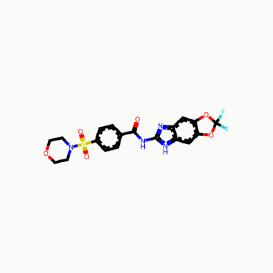 O=C(Nc1nc2cc3c(cc2[nH]1)OC(F)(F)O3)c1ccc(S(=O)(=O)N2CCOCC2)cc1